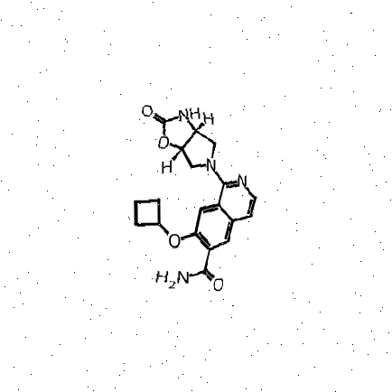 NC(=O)c1cc2ccnc(N3C[C@@H]4OC(=O)N[C@@H]4C3)c2cc1OC1CCC1